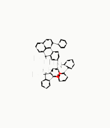 CC1(C)c2ccccc2-c2ccc(N(c3ccc4c(c3)C(C)(C)c3cccc5ccc(-c6ccccc6)c-4c35)c3ccccc3-c3ccccc3)cc21